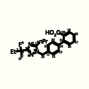 CCCc1nc(C(F)(F)CC)nn1Cc1ccc(-c2ccccc2C(=O)O)cc1